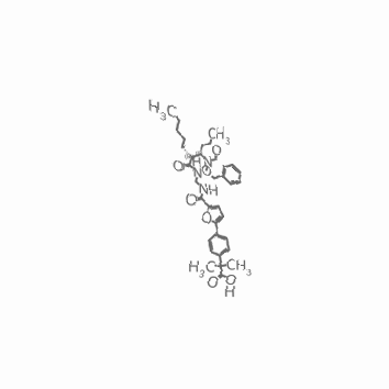 CCCCC[C@@H](C(=O)NCNC(=O)c1ccc(-c2ccc(C(C)(C)C(=O)O)cc2)o1)[C@@H](CCC)N(C=O)OCc1ccccc1